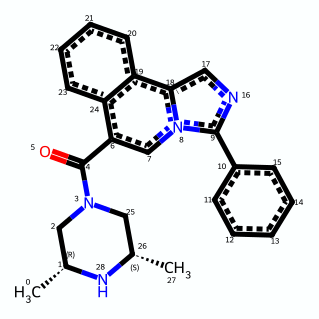 C[C@@H]1CN(C(=O)c2cn3c(-c4ccccc4)ncc3c3ccccc23)C[C@H](C)N1